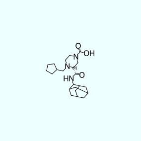 O=C(NC1C2CC3CC(C2)CC1C3)[C@H]1CN(C(=O)O)CCN1CC1CCCC1